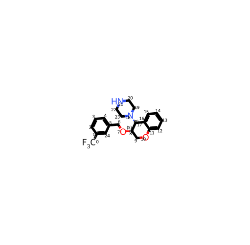 FC(F)(F)c1cccc(CO[C@@H]2COc3ccccc3[C@H]2N2CCNCC2)c1